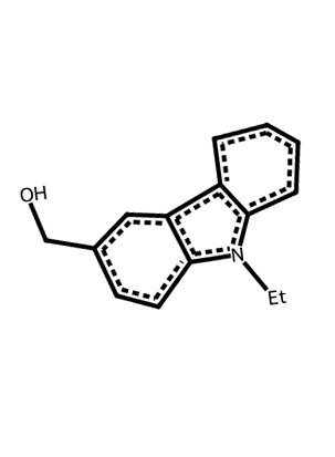 CCn1c2ccccc2c2cc(CO)ccc21